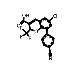 N#Cc1ccc(-c2cc(Cl)cc3c2OC(C(F)(F)F)C(C(=O)O)=C3)cc1